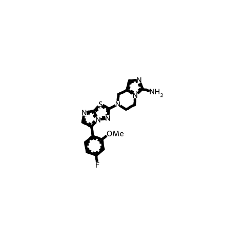 COc1cc(F)ccc1-c1cnc2sc(N3CCn4c(cnc4N)C3)nn12